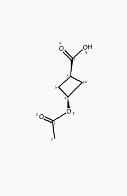 CC(=O)O[C@H]1C[C@@H](C(=O)O)C1